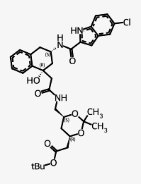 CC(C)(C)OC(=O)C[C@H]1C[C@@H](CNC(=O)C[C@]2(O)C[C@@H](NC(=O)c3cc4cc(Cl)ccc4[nH]3)Cc3ccccc32)OC(C)(C)O1